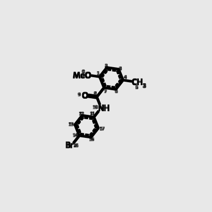 COc1ccc(C)cc1C(=O)Nc1ccc(Br)cc1